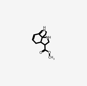 COC(=O)C1CNC23CCNC=C2C=CCC13